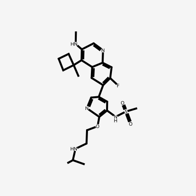 CNc1cnc2cc(F)c(-c3cnc(OCCNC(C)C)c(NS(C)(=O)=O)c3)cc2c1C1(C)CCC1